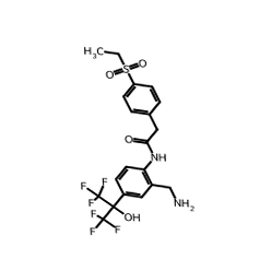 CCS(=O)(=O)c1ccc(CC(=O)Nc2ccc(C(O)(C(F)(F)F)C(F)(F)F)cc2CN)cc1